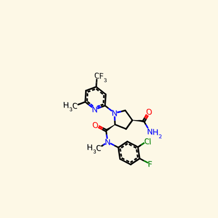 Cc1cc(C(F)(F)F)cc(N2C[C@@H](C(N)=O)C[C@H]2C(=O)N(C)c2ccc(F)c(Cl)c2)n1